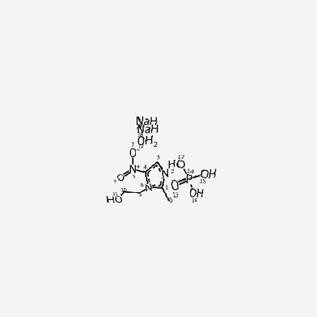 Cc1ncc([N+](=O)[O-])n1CCO.O.O=P(O)(O)O.[NaH].[NaH]